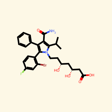 CC(C)c1c(C(N)=O)c(-c2ccccc2)c(-c2ccc(F)cc2Br)n1CC[C@@H](O)C[C@@H](O)CC(=O)O